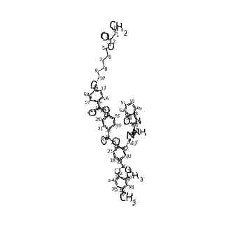 C=CC(=O)OCCCCCCOc1ccc(C(=O)Oc2ccc(C(=O)Oc3ccc(C(=O)Oc4ccc(C)cc4C)cc3/C=N/Nc3nc4ccccc4o3)cc2)cc1